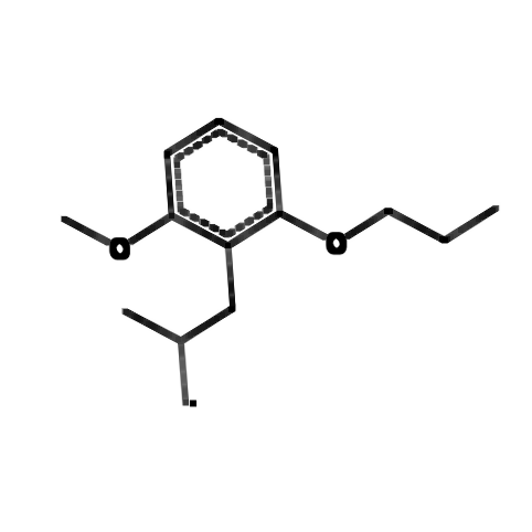 [CH2]C(C)Cc1c(OC)cccc1OCCC